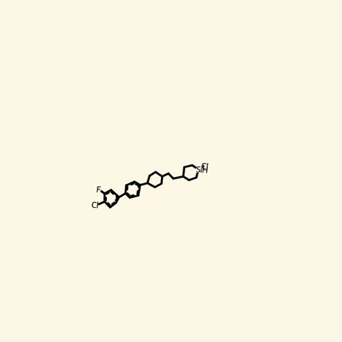 Fc1cc(-c2ccc(C3CCC(CCC4CC[SiH](Cl)CC4)CC3)cc2)ccc1Cl